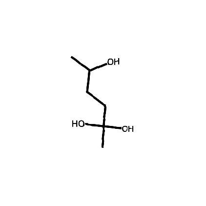 CC(O)CCC(C)(O)O